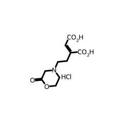 Cl.O=C(O)C=C(CCN1CCOC(=O)C1)C(=O)O